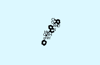 O=C(NNc1ccnc2c(NC(=O)c3c(Cl)cccc3Cl)cccc12)NSc1ccccc1